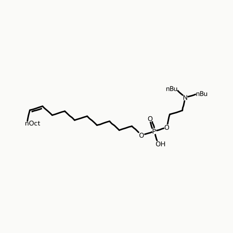 CCCCCCCC/C=C\CCCCCCCCOP(=O)(O)OCCN(CCCC)CCCC